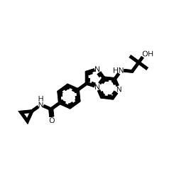 CC(C)(O)CNc1nccn2c(-c3ccc(C(=O)NC4CC4)cc3)cnc12